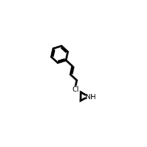 C1CN1.ClCC=Cc1ccccc1